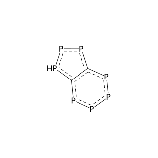 p1ppc2[pH]ppc2p1